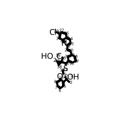 CC(C)(O)c1ccccc1OCCSC(c1cccc(/C=C/c2ccc3ccc(Cl)cc3n2)c1)C1(CC(=O)O)CC1